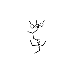 CC[Si](CC)(CC)SCC(C)C[Si](C)(OC)OC